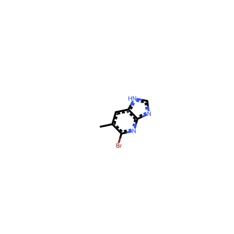 Cc1cc2[nH]cnc2nc1Br